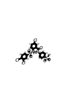 O=C(Nc1ccc(S(=O)(=O)F)cc1)c1cc(Cl)ccc1NS(=O)(=O)c1ccc(Cl)c(Cl)c1